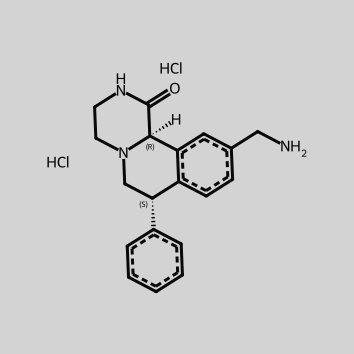 Cl.Cl.NCc1ccc2c(c1)[C@@H]1C(=O)NCCN1C[C@H]2c1ccccc1